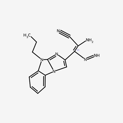 CCCn1c2ccccc2n2cc(/C(N=N)=C(/N)C#N)nc12